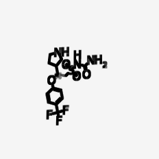 NC(=O)NS(=O)(=O)C[C@H](Oc1ccc(C(F)(F)F)cc1)C1CCNC1